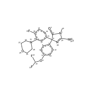 CN1C(=O)C(c2ccc(OC(F)F)cc2)(c2ccc(F)c(N3CCOCC3)c2)N=C1N